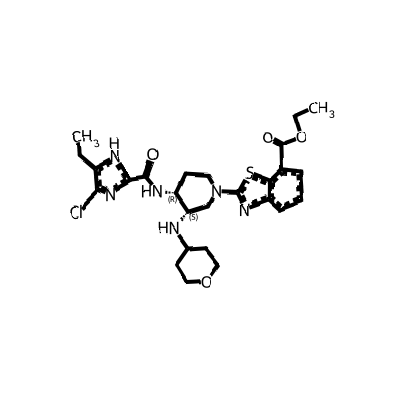 CCOC(=O)c1cccc2nc(N3CC[C@@H](NC(=O)c4nc(Cl)c(CC)[nH]4)[C@@H](NC4CCOCC4)C3)sc12